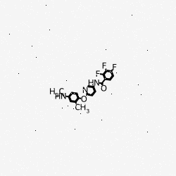 CNc1ccc(Oc2ccc(NC(=O)c3ccc(F)c(F)c3F)cn2)c(C)c1